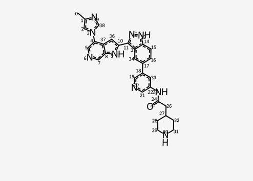 Cc1cn(-c2cncc3[nH]c(-c4n[nH]c5ccc(-c6cncc(NC(=O)CC7CCNCC7)c6)cc45)cc23)cn1